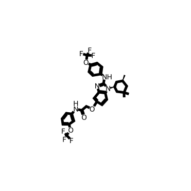 C[C@@H]1C[C@H](n2c(Nc3ccc(OC(F)(F)F)cc3)nc3cc(OCC(=O)Nc4cccc(OC(F)(F)F)c4)ccc32)CC(C)(C)C1